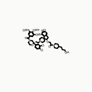 COc1cc(C(=O)N2CCO[C@](CCN3CCC4(CC3)c3ccccc3C[C@@H]4OCC(=O)N3CCC(CCCO)CC3)(c3ccc(Cl)c(Cl)c3)C2)cc(OC)c1OC.Cl